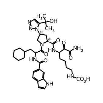 CC(C)(O)c1cnnn1[C@H]1C[C@@H](C(=O)NC(CCCCNC(=O)O)C(=O)C(N)=O)N(C(=O)C(CC2CCCCC2)NC(=O)c2ccc3cc[nH]c3c2)C1